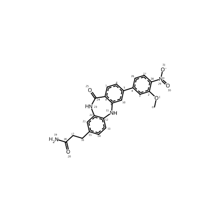 COc1cc(-c2ccc3c(c2)Nc2ccc(CCC(N)=O)cc2NC3=O)ccc1[N+](=O)[O-]